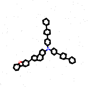 c1ccc(-c2ccc(-c3ccc(N(c4ccc(-c5ccc(-c6ccccc6)cc5)cc4)c4ccc5c(ccc6cc(-c7ccc8c(c7)oc7ccccc78)ccc65)c4)cc3)cc2)cc1